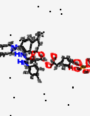 CC[C@@H](CC(=O)OC(OC(=O)Cc1ccc(OP(=O)(O)O)cc1)C(C)C)c1ccc(N(CC(C)C)CC(C)C)c(NC(=O)Nc2ccc(C)cc2)c1